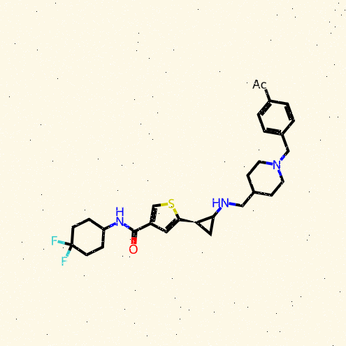 CC(=O)c1ccc(CN2CCC(CNC3C[C@H]3c3cc(C(=O)NC4CCC(F)(F)CC4)cs3)CC2)cc1